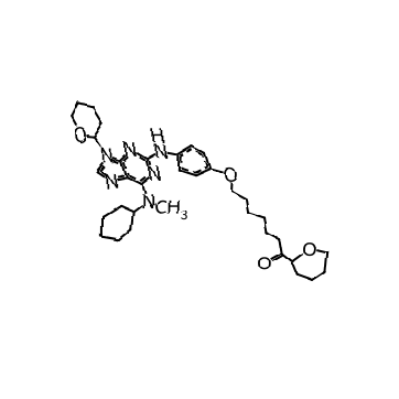 CN(c1nc(Nc2ccc(OCCCCCCC(=O)C3CCCCO3)cc2)nc2c1ncn2C1CCCCO1)C1CCCCC1